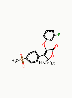 CC[C@@]1(C)OC(=O)C(Oc2cccc(F)c2)=C1c1ccc(S(C)(=O)=O)cc1